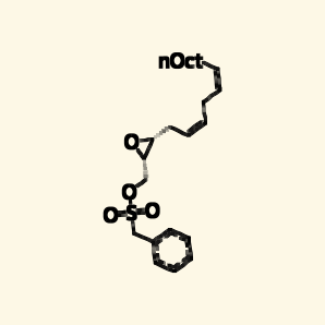 CCCCCCCC/C=C\C/C=C\C[C@H]1O[C@H]1COS(=O)(=O)Cc1ccccc1